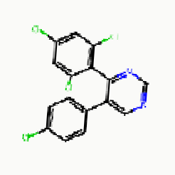 Clc1ccc(-c2cn[c]nc2-c2c(Cl)cc(Cl)cc2Cl)cc1